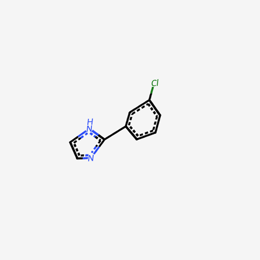 Clc1cccc(-c2ncc[nH]2)c1